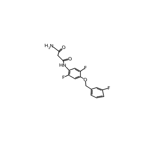 NC(=O)CC(=O)Nc1cc(F)c(OCc2cccc(F)c2)cc1F